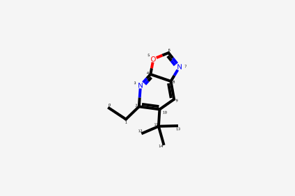 CCc1nc2ocnc2cc1C(C)(C)C